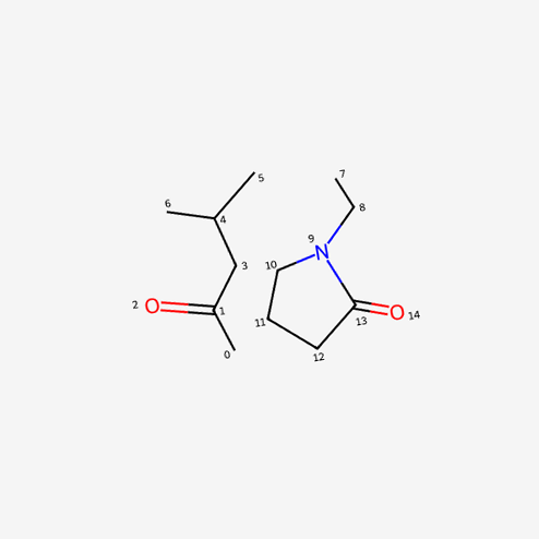 CC(=O)CC(C)C.CCN1CCCC1=O